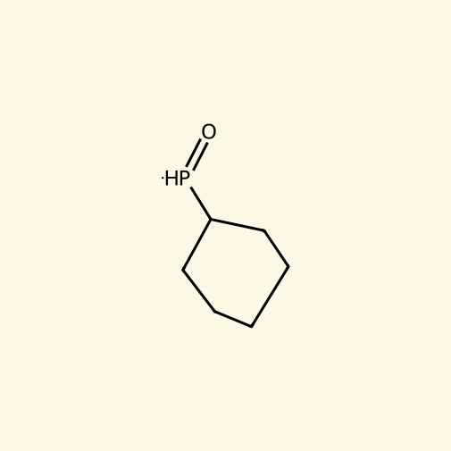 O=[PH]C1CCCCC1